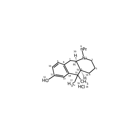 CCCN1CCC[C@@H]2[C@H]1Cc1ccc(O)cc1C2(C)C.Cl